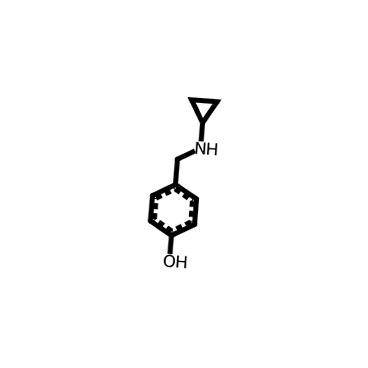 Oc1ccc(CNC2CC2)cc1